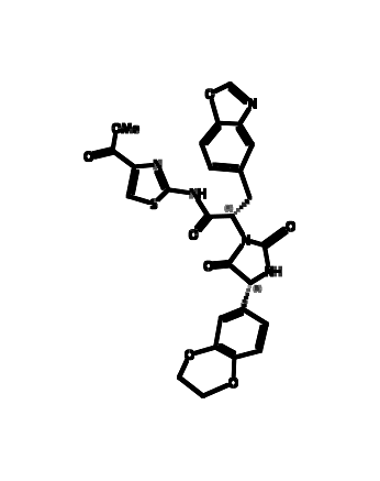 COC(=O)c1csc(NC(=O)[C@H](Cc2ccc3ocnc3c2)N2C(=O)N[C@H](c3ccc4c(c3)OCCO4)C2=O)n1